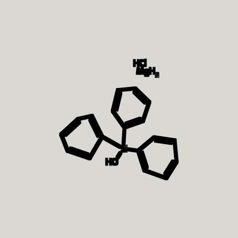 Cl.O[Si](c1ccccc1)(c1ccccc1)c1ccccc1.[MgH2]